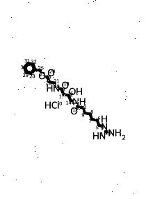 Cl.N=C(N)NCCCCCCC(=O)NCC(O)CC(=O)NCCC(=O)OCc1ccccc1